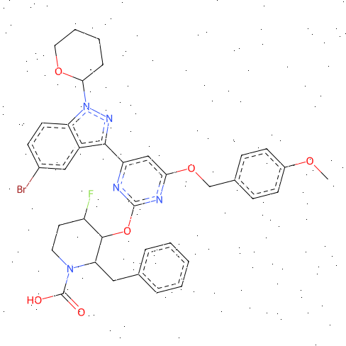 COc1ccc(COc2cc(-c3nn(C4CCCCO4)c4ccc(Br)cc34)nc(OC3C(F)CCN(C(=O)O)C3Cc3ccccc3)n2)cc1